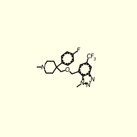 CN1CCC(COCc2cc(C(F)(F)F)cc3nnn(C)c23)(c2ccc(F)cc2)CC1